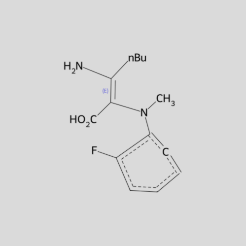 CCCC/C(N)=C(/C(=O)O)N(C)c1ccccc1F